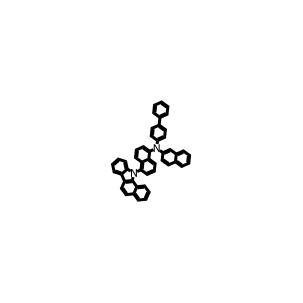 c1ccc(-c2ccc(N(c3ccc4ccccc4c3)c3cccc4c(-n5c6ccccc6c6ccc7ccccc7c65)cccc34)cc2)cc1